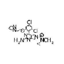 CN(C(=O)N1Cc2nc(N)nc(-c3c(Cl)cc(Cl)cc3OCCn3cccn3)c2C1)C1CC1